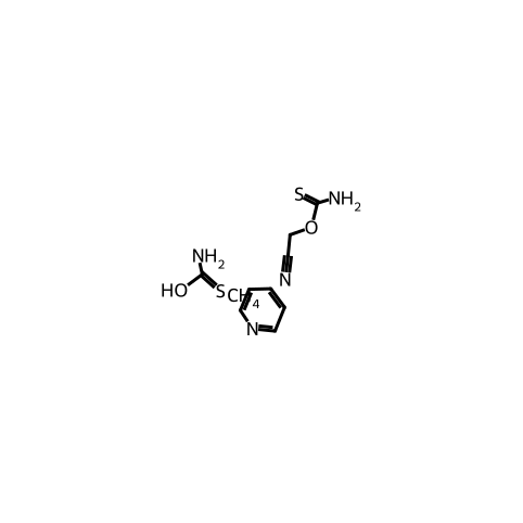 C.N#CCOC(N)=S.NC(O)=S.c1ccncc1